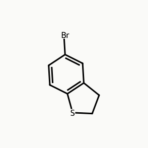 Brc1ccc2c(c1)CCS2